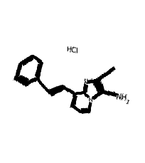 Cc1nc2c(C=Cc3ccccc3)cccn2c1N.Cl